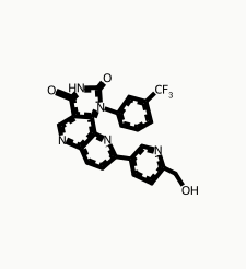 O=c1[nH]c(=O)n(-c2cccc(C(F)(F)F)c2)c2c1cnc1ccc(-c3ccc(CO)nc3)nc12